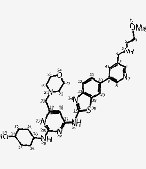 COCCNCc1cncc(-c2ccc3nc(Nc4cc(CN5CCOCC5)nc(NC5CCC(O)CC5)n4)sc3c2)c1